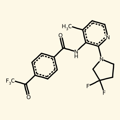 Cc1ccnc(N2CCC(F)(F)C2)c1NC(=O)c1ccc(C(=O)C(F)(F)F)cc1